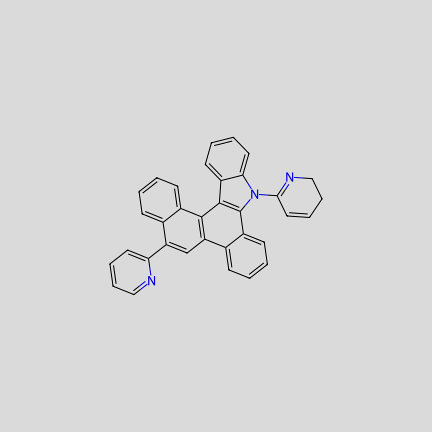 C1=CC(n2c3ccccc3c3c4c5ccccc5c(-c5ccccn5)cc4c4ccccc4c32)=NCC1